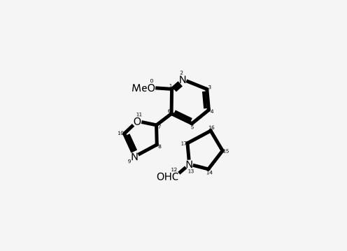 COc1ncccc1C1CN=CO1.O=CN1CCCC1